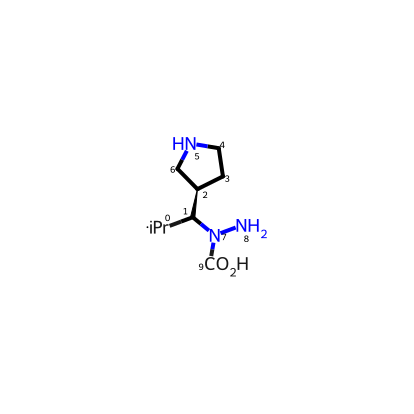 C[C](C)C([C@@H]1CCNC1)N(N)C(=O)O